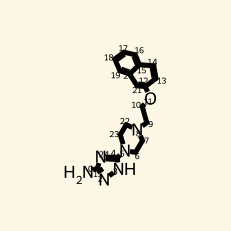 Nc1n[nH]c(N2CCN(CCOc3ccc4ccccc4c3)CC2)n1